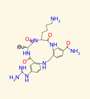 CCC(C)[C@@H]1NC(=O)c2cc(NC(=N)N)ccc2NCc2ccc(C(N)=O)cc2NC(=O)C(CCCCN)NC1=O